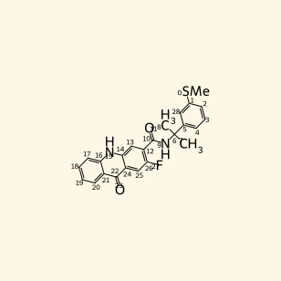 CSc1cccc(C(C)(C)NC(=O)c2cc3[nH]c4ccccc4c(=O)c3cc2F)c1